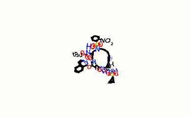 CC(C)(C)OC(=O)N[C@H]1CN(S(=O)(=O)c2ccccc2[N+](=O)[O-])CCC/C=C\[C@@H]2C[C@@]2(C(=O)NS(=O)(=O)C2CC2)NC(=O)[C@@H]2C[C@@H](Oc3nccc4ccccc34)CN2C1=O